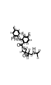 Cc1ccc(Nc2c(C(=O)N3CC(O)(C(C)(C)CNC(C)C)C3)ccc(F)c2F)c(F)c1